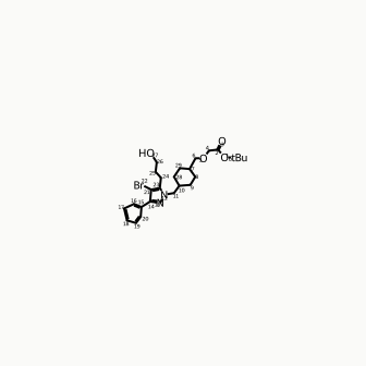 CC(C)(C)OC(=O)COCC1CCC(Cn2nc(-c3ccccc3)c(Br)c2CCCO)CC1